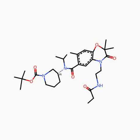 CCC(=O)NCCN1C(=O)C(C)(C)Oc2cc(C)c(C(=O)N(C(C)C)[C@@H]3CCCN(C(=O)OC(C)(C)C)C3)cc21